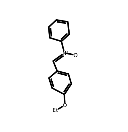 CCOc1ccc(C=[N+]([O-])c2ccccc2)cc1